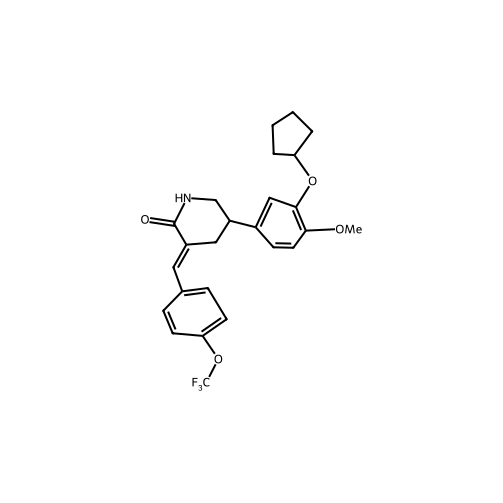 COc1ccc(C2CNC(=O)C(=Cc3ccc(OC(F)(F)F)cc3)C2)cc1OC1CCCC1